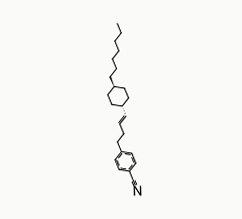 CCCCCCC[C@H]1CC[C@H](/C=C/CCc2ccc(C#N)cc2)CC1